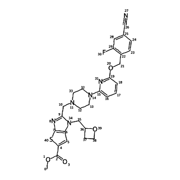 COC(=O)c1cc2c(nc(CN3CCN(c4cccc(OCc5ccc(C#N)cc5F)n4)CC3)n2CC2CCO2)s1